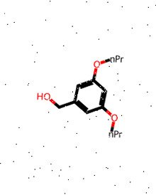 CCCOc1cc(CO)cc(OCCC)c1